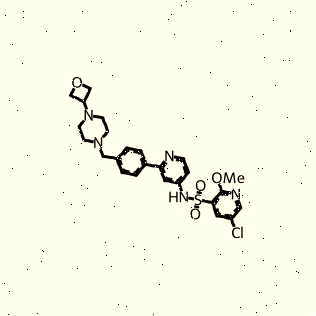 COc1ncc(Cl)cc1S(=O)(=O)Nc1ccnc(-c2ccc(CN3CCN(C4COC4)CC3)cc2)c1